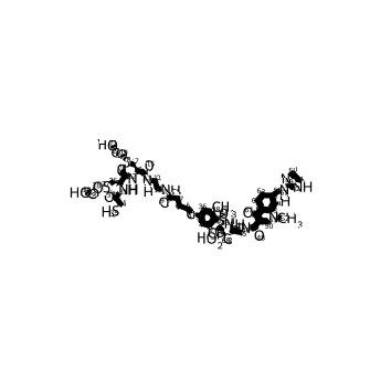 Cc1cc(OCCCC(=O)NCCNC(=O)[C@H](CSOOO)NC(=O)[C@H](CSOOO)NC(=O)CS)cc(C)c1S(=O)(=O)N[C@@H](CNC(=O)c1cn(C)c2cc(CNc3ncc[nH]3)ccc2c1=O)C(=O)O